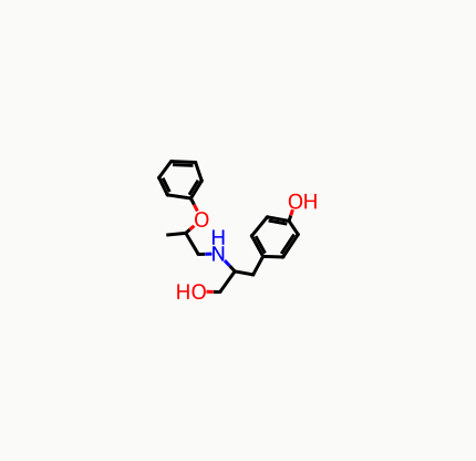 CC(CNC(CO)Cc1ccc(O)cc1)Oc1ccccc1